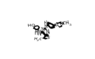 Cc1csc2nc(Nc3ccc(N4CCN(C)CC4)cc3)nc(NC3CCC(O)CC3)c12